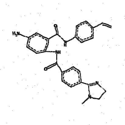 C=Cc1ccc(NC(=O)c2cc(N)ccc2NC(=O)c2ccc(C3=NCCN3C)cc2)cc1